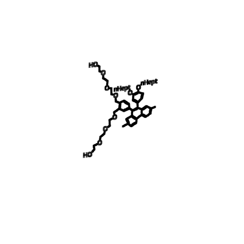 CCCCCCCOc1ccc(-c2c(-c3ccc(COCCOCCOCCO)c(COCCOCCOCCO)c3)c3cc(C)ccc3c3ccc(C)cc23)cc1OCCCCCCC